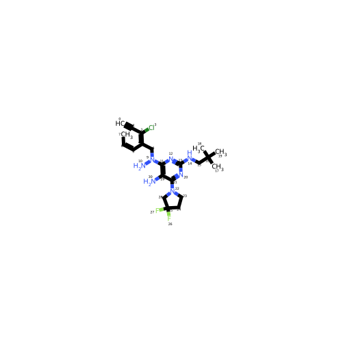 C#C/C(Cl)=C(\C=C/C)CN(N)c1nc(NCC(C)(C)C)nc(N2CCC(F)(F)C2)c1N